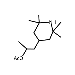 CC(=O)OC(C)CC1CC(C)(C)NC(C)(C)C1